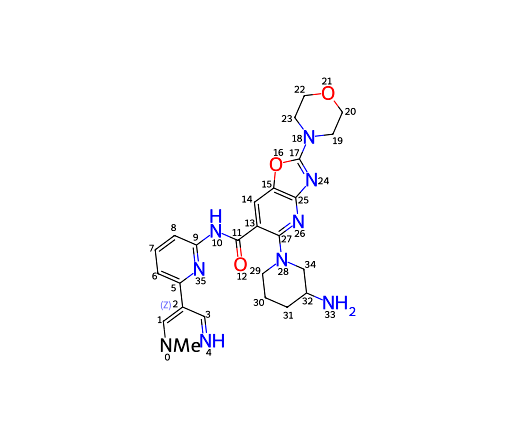 CN/C=C(\C=N)c1cccc(NC(=O)c2cc3oc(N4CCOCC4)nc3nc2N2CCCC(N)C2)n1